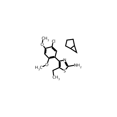 C1CC2CC2C1.CCc1sc(N)nc1-c1cc(Cl)c(OC)cc1OC